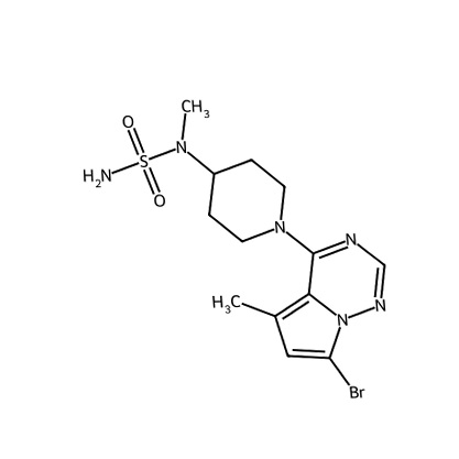 Cc1cc(Br)n2ncnc(N3CCC(N(C)S(N)(=O)=O)CC3)c12